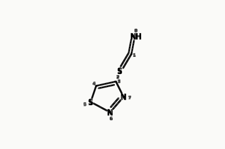 N=C=S.c1csnn1